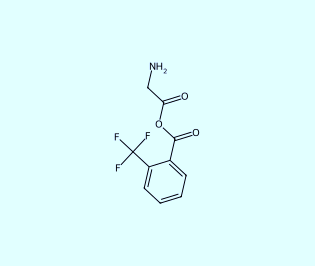 NCC(=O)OC(=O)c1ccccc1C(F)(F)F